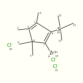 CC1=C(C)C(C)(C)[C]([Zr+3])=C1[Si](C)(C)C.[Cl-].[Cl-].[Cl-]